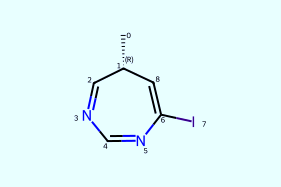 C[C@H]1C=NC=NC(I)=C1